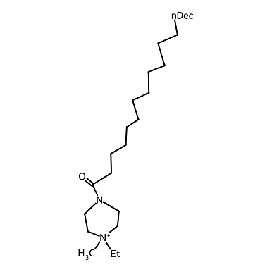 CCCCCCCCCCCCCCCCCCCCCC(=O)N1CC[N+](C)(CC)CC1